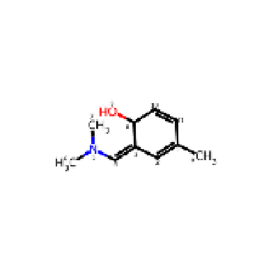 CC1=CC(=CN(C)C)C(O)C=C1